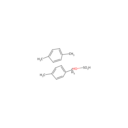 Cc1ccc(C)cc1.Cc1ccc(C)cc1.O=S(=O)(O)O